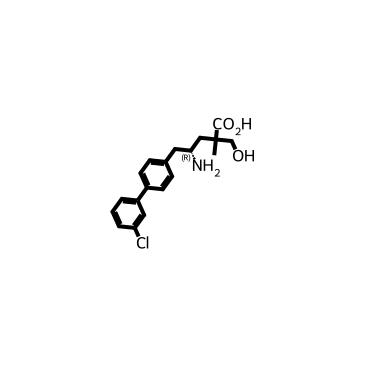 CC(CO)(C[C@H](N)Cc1ccc(-c2cccc(Cl)c2)cc1)C(=O)O